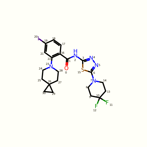 O=C(Nc1nnc(N2CCC(F)(F)CC2)s1)c1ccc(I)cc1N1CCC2(CC1)CC2